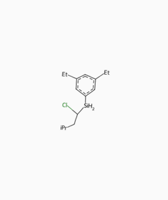 CCc1cc(CC)cc([SiH2]C(Cl)CC(C)C)c1